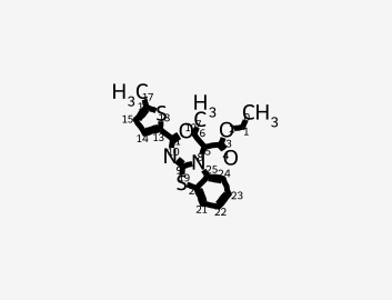 CCOC(=O)C(CC)n1/c(=N\C(=O)c2ccc(C)s2)sc2ccccc21